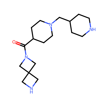 O=C(C1CCN(CC2CCNCC2)CC1)N1CC2(CNC2)C1